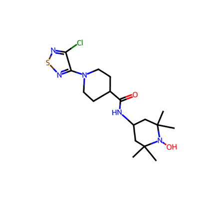 CC1(C)CC(NC(=O)C2CCN(c3nsnc3Cl)CC2)CC(C)(C)N1O